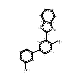 Nc1ncc(-c2cccc(C(=O)O)c2)nc1-c1nc2ccccc2[nH]1